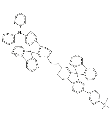 C[Si](C)(C)c1ccc(-c2ccc3c(c2)C2(C4=CC(/C=C/c5ccc6c(c5)C5(c7ccccc7-c7ccccc75)c5cc(N(c7ccccc7)c7ccccc7)ccc5-6)CC=C43)c3ccccc3-c3ccccc32)cc1